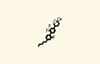 CCCCCc1ccc(-c2ccc(C3CCC(OC)OC3)c(F)c2F)c(F)c1